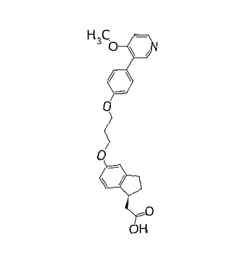 COc1ccncc1-c1ccc(OCCCOc2ccc3c(c2)CC[C@H]3CC(=O)O)cc1